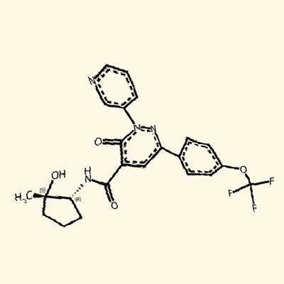 C[C@]1(O)CCC[C@H]1NC(=O)c1cc(-c2ccc(OC(F)(F)F)cc2)nn(-c2cccnc2)c1=O